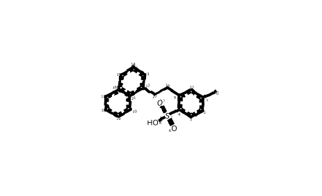 Cc1ccc(S(=O)(=O)O)c(CCc2cccc3ccccc23)c1